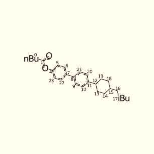 CCCCC(=O)Oc1ccc(-c2ccc(C3CCC(CC(C)CC)CC3)cc2)cc1